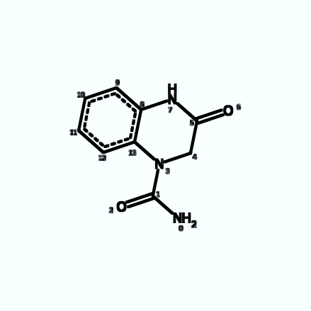 NC(=O)N1CC(=O)Nc2ccccc21